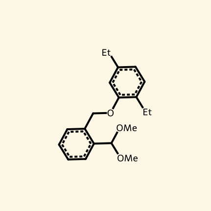 CCc1ccc(CC)c(OCc2ccccc2C(OC)OC)c1